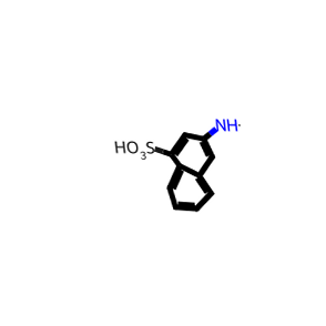 [NH]c1cc(S(=O)(=O)O)c2ccccc2c1